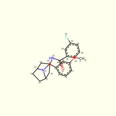 COc1cccc(CN2C3CCC2CC(NC(=O)c2cccc(F)c2)C3)c1